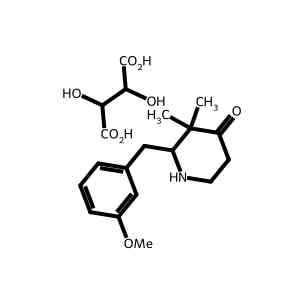 COc1cccc(CC2NCCC(=O)C2(C)C)c1.O=C(O)C(O)C(O)C(=O)O